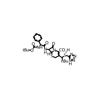 CCCCC(Sc1nnn[nH]1)C1=C(C(=O)O)N2C(=O)C(NC(=O)C(NC(=O)OC(C)(C)C)c3ccccc3)[C@@H]2SC1